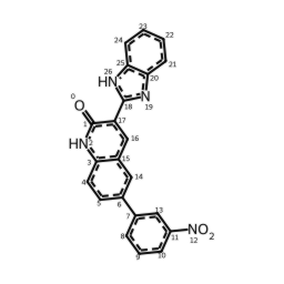 O=c1[nH]c2ccc(-c3cccc([N+](=O)[O-])c3)cc2cc1-c1nc2ccccc2[nH]1